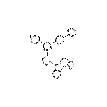 c1cc(-c2cc(-c3ccc(-c4ccncc4)cc3)cc(-c3ccncc3)n2)cc(-n2c3ccccc3c3c4occc4ccc32)c1